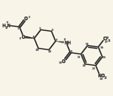 NC(=O)O[C@H]1CC[C@H](NC(=O)c2cc([N+](=O)[O-])cc(C(F)(F)F)c2)CC1